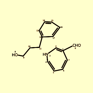 O=CC1=CNC=CC=C1.OCCCc1ccccc1